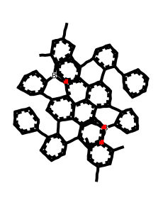 Cc1cc(C)c(B2c3ccccc3-c3cc(-c4c(-c5ccccc5)cccc4-c4ccccc4)c4cc5c6c(cc(-c7c(-c8ccccc8)cccc7-c7ccccc7)c7cc2c3c4c76)-c2ccccc2B5c2c(C)cc(C)cc2C)c(C)c1